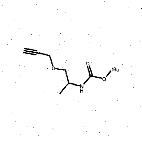 C#CCOCC(C)NC(=O)OC(C)(C)C